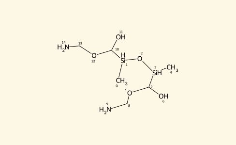 C[SiH](O[SiH](C)C(O)OCN)C(O)OCN